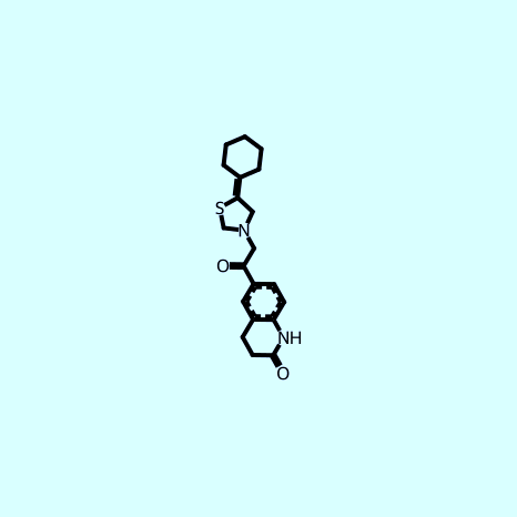 O=C1CCc2cc(C(=O)CN3CSC(=C4CCCCC4)C3)ccc2N1